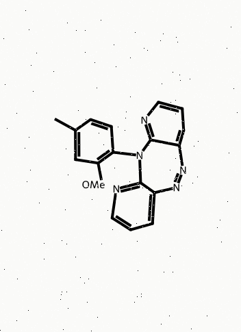 COc1cc(C)ccc1N1c2ncccc2N=Nc2cccnc21